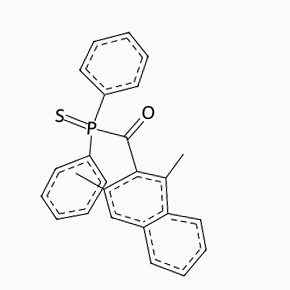 Cc1cc2ccccc2c(C)c1C(=O)P(=S)(c1ccccc1)c1ccccc1